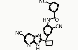 N#Cc1cccc(C(=O)Nc2ccc(C3(c4nc5cc(C#N)cnc5[nH]4)CCC3)cc2C#N)c1